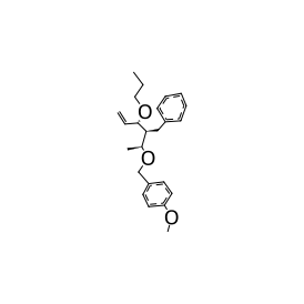 C=C[C@H](OCCC)[C@@H](Cc1ccccc1)[C@H](C)OCc1ccc(OC)cc1